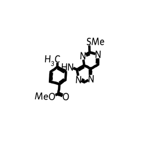 COC(=O)c1ccc(C)c(Nc2ncnc3cnc(SC)nc23)c1